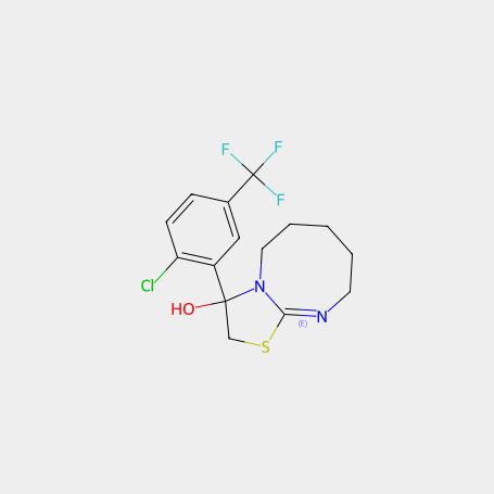 OC1(c2cc(C(F)(F)F)ccc2Cl)CS/C2=N/CCCCCN21